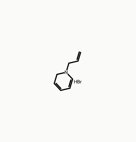 Br.C=CCN1C=CC=CC1